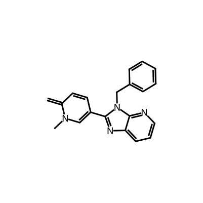 C=C1C=CC(c2nc3cccnc3n2Cc2ccccc2)=CN1C